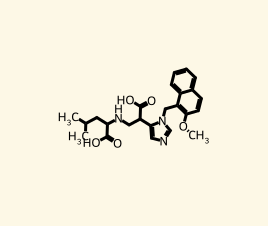 COc1ccc2ccccc2c1Cn1cncc1C(CNC(CC(C)C)C(=O)O)C(=O)O